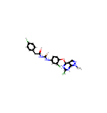 Cn1ncc2c(Oc3ccc(NC(=S)NC(=O)Cc4ccc(F)cc4)cc3F)nc(Cl)nc21